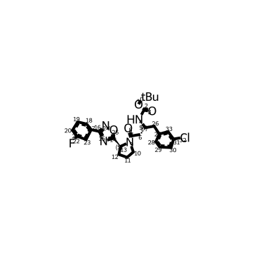 CC(C)(C)OC(=O)N[C@@H](CC(=O)N1CCC[C@H]1c1nc(-c2cccc(F)c2)no1)Cc1cccc(Cl)c1